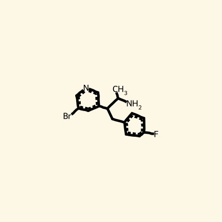 CC(N)C(Cc1ccc(F)cc1)c1cncc(Br)c1